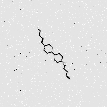 C=CCCO[C@H]1CC[C@H]([C@H]2CC[C@H](/C=C/CCC)CC2)CC1